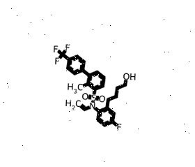 C=CN(c1ccc(F)cc1CCCCO)S(=O)(=O)c1cccc(-c2ccc(C(F)(F)F)cc2)c1C